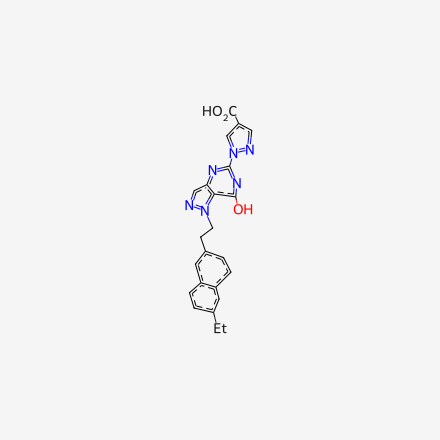 CCc1ccc2cc(CCn3ncc4nc(-n5cc(C(=O)O)cn5)nc(O)c43)ccc2c1